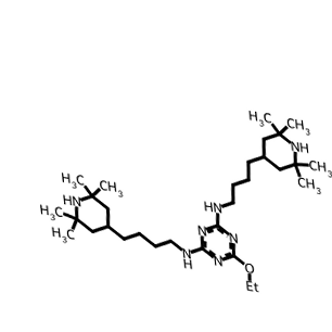 CCOc1nc(NCCCCC2CC(C)(C)NC(C)(C)C2)nc(NCCCCC2CC(C)(C)NC(C)(C)C2)n1